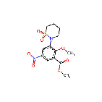 COC(=O)c1cc([N+](=O)[O-])cc(N2CCCCS2(=O)=O)c1OC